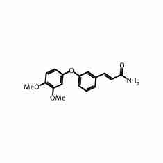 COc1ccc(Oc2cccc(C=CC(N)=O)c2)cc1OC